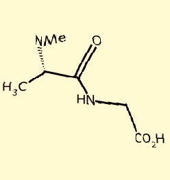 CN[C@@H](C)C(=O)NCC(=O)O